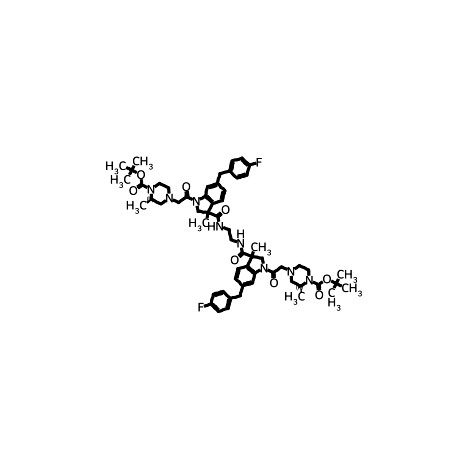 C[C@@H]1CN(CC(=O)N2CC(C)(C(=O)NCCNC(=O)C3(C)CN(C(=O)CN4CCN(C(=O)OC(C)(C)C)[C@H](C)C4)c4cc(Cc5ccc(F)cc5)ccc43)c3ccc(Cc4ccc(F)cc4)cc32)CCN1C(=O)OC(C)(C)C